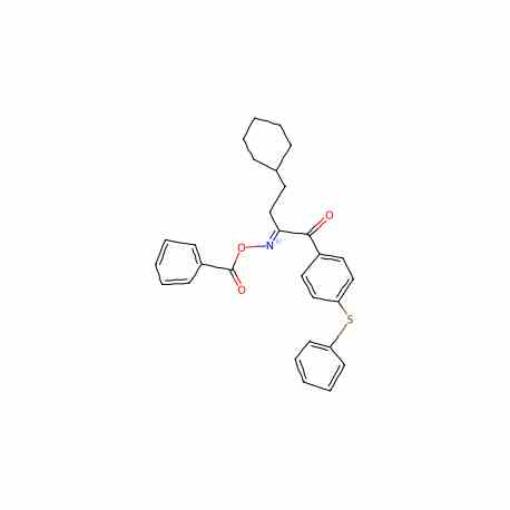 O=C(O/N=C(\CCC1CCCCC1)C(=O)c1ccc(Sc2ccccc2)cc1)c1ccccc1